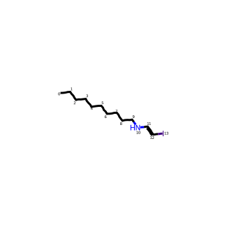 CCCCCCCCCCNC=CI